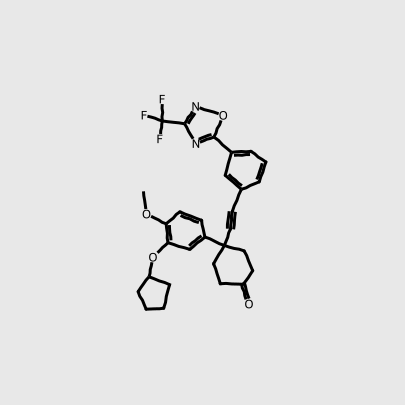 COc1ccc(C2(C#Cc3cccc(-c4nc(C(F)(F)F)no4)c3)CCC(=O)CC2)cc1OC1CCCC1